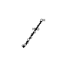 CC(=O)COCCOCCOCCOCCOCCOCCNC(=O)CCCCCCCCO